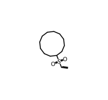 C=CS(=O)(=O)C1CCCCCCCCCCC1